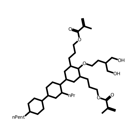 C=C(C)C(=O)OCCCC1CC(C2CCC(C3CCC(CCCCC)CC3)CC2CCC)CC(CCCOC(=O)C(=C)C)C1OCCC(CO)CO